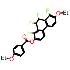 CCOc1ccc(C(=O)Oc2ccc3c(c2F)C(F)C(F)c2c-3ccc(OCC)c2F)cc1